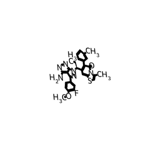 CC[C@@H](c1cc2scc(C)n2c(=O)c1-c1cccc(C)c1)n1nc(-c2ccc(OC)c(F)c2)c2c(N)ncnc21